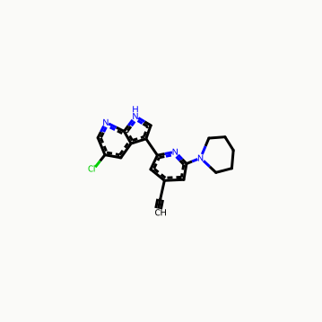 C#Cc1cc(-c2c[nH]c3ncc(Cl)cc23)nc(N2CCCCC2)c1